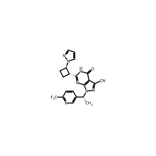 C[C@H](c1ccc(C(F)(F)F)nc1)n1nc(C#N)c2c(=O)[nH]c([C@@H]3CC[C@H]3n3cccn3)nc21